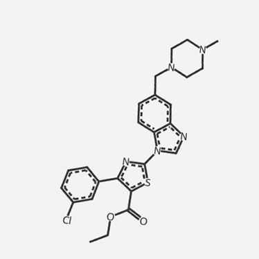 CCOC(=O)c1sc(-n2cnc3cc(CN4CCN(C)CC4)ccc32)nc1-c1cccc(Cl)c1